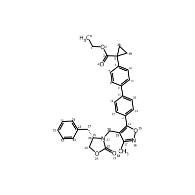 CCOC(=O)C1(c2ccc(-c3ccc(-c4onc(C)c4CN4C(=O)OC[C@@H]4Cc4ccccc4)cc3)cc2)CC1